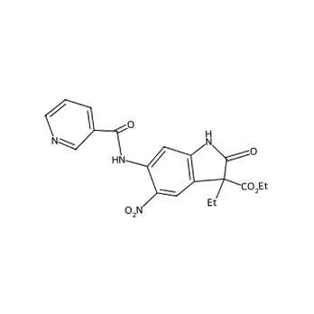 CCOC(=O)C1(CC)C(=O)Nc2cc(NC(=O)c3cccnc3)c([N+](=O)[O-])cc21